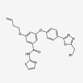 C=CCCOc1cc(Oc2ccc(-c3nnc(CC(C)C)o3)cc2)cc(C(=O)Nc2nccs2)c1